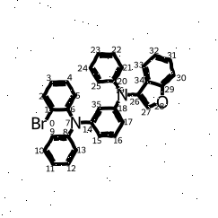 Brc1ccccc1N(c1ccccc1)c1cccc(N(c2ccccc2)c2coc3ccccc23)c1